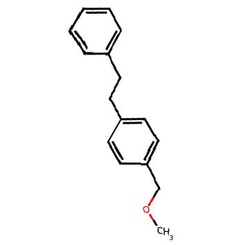 COCc1ccc(CCc2ccccc2)cc1